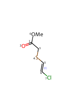 COC(=O)CS/C=C/Cl